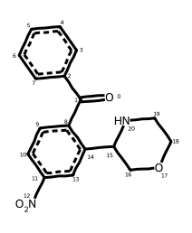 O=C(c1ccccc1)c1ccc([N+](=O)[O-])cc1C1COCCN1